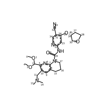 COC(OC)c1nc2c(cc1CN(C)C)CCCN2C(=O)Nc1cc(O[C@@H]2CCOC2)c(C#N)cn1